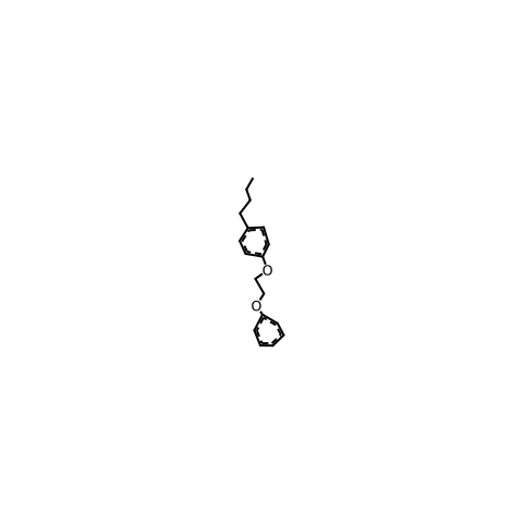 CCCCc1ccc(OCCOc2ccccc2)cc1